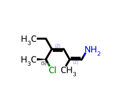 CC/C(=C/C(C)=C\N)[C@H](C)Cl